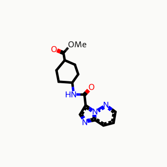 COC(=O)C1CCC(NC(=O)c2cnc3cccnn23)CC1